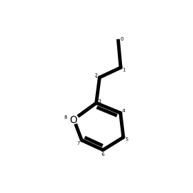 CC[CH]C1=CCC=CO1